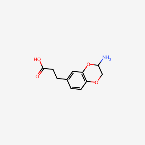 NC1COc2ccc(CCC(=O)O)cc2O1